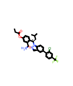 CCC(=O)Oc1ccc([C@@H](CC(C)C)n2ncc3cc(-c4ccc(C(F)(F)F)cc4Cl)ccc32)c(C(N)=O)c1